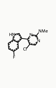 CNc1ncc(Cl)c(-c2c[nH]c3ccc(F)cc23)n1